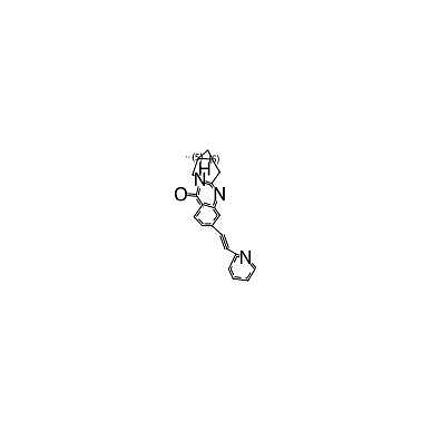 C[C@]12C[C@H]1Cc1nc3cc(C#Cc4ccccn4)ccc3c(=O)n1C2